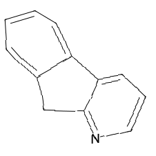 c1ccc2c(c1)Cc1ncccc1-2